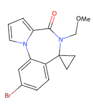 COCN1C(=O)c2cccn2-c2cc(Br)ccc2C12CC2